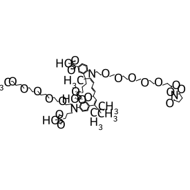 COCCOCCOCCOCCOCCN(CCCS(=O)(=O)O)c1ccc2c(c1)OC(/C=C/C=C1/N(CCOCCOCCOCCOCCOCCC(=O)ON3C(=O)CCC3=O)c3ccc(S(=O)(=O)O)cc3C1(C)CCCS(=O)(=O)O)C=C2C(C)(C)C